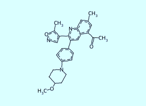 COC1CCN(c2ccc(-c3cc4c(C(C)=O)cc(C)cc4nc3-c3cnoc3C)cc2)CC1